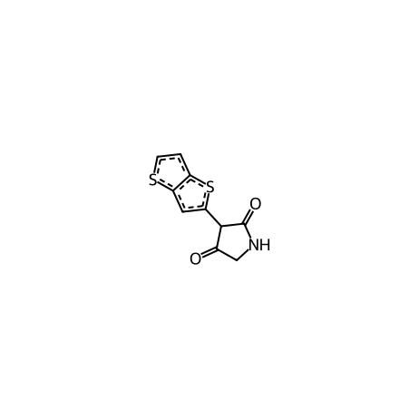 O=C1CNC(=O)C1c1cc2sccc2s1